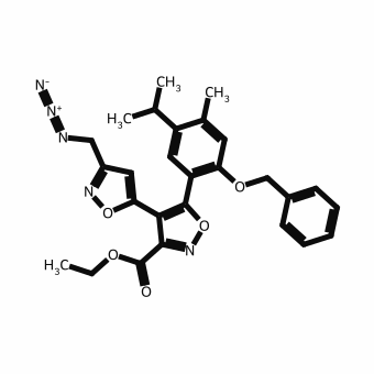 CCOC(=O)c1noc(-c2cc(C(C)C)c(C)cc2OCc2ccccc2)c1-c1cc(CN=[N+]=[N-])no1